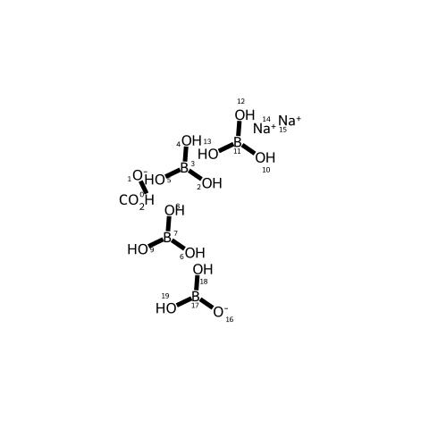 O=C([O-])O.OB(O)O.OB(O)O.OB(O)O.[Na+].[Na+].[O-]B(O)O